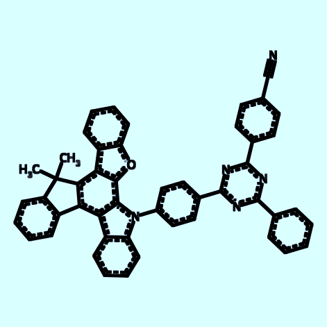 CC1(C)c2ccccc2-c2c1c1c3ccccc3oc1c1c2c2ccccc2n1-c1ccc(-c2nc(-c3ccccc3)nc(-c3ccc(C#N)cc3)n2)cc1